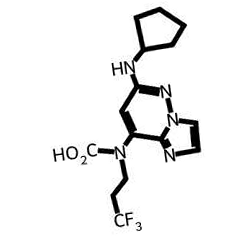 O=C(O)N(CCC(F)(F)F)c1cc(NC2CCCC2)nn2ccnc12